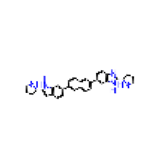 c1cc2cc(-c3ccc4nc([C@@H]5CCCN5)[nH]c4c3)ccc2cc1-c1ccc2cc([C@@H]3CCCN3)[nH]c2c1